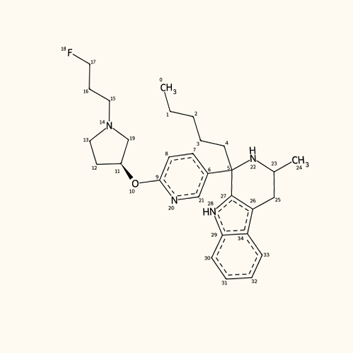 CCCCCC1(c2ccc(O[C@H]3CCN(CCCF)C3)nc2)NC(C)Cc2c1[nH]c1ccccc21